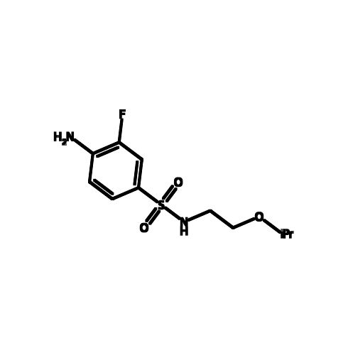 CC(C)OCCNS(=O)(=O)c1ccc(N)c(F)c1